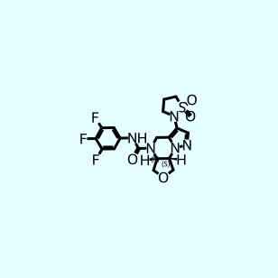 O=C(Nc1cc(F)c(F)c(F)c1)N1Cc2c(N3CCCS3(=O)=O)cnn2[C@@H]2COC[C@@H]21